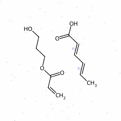 C/C=C/C=C/C(=O)O.C=CC(=O)OCCCO